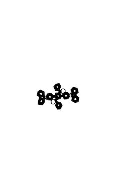 O=C(c1ccccc1)c1cc(-c2ccc(-n3c4ccccc4c4ccccc43)cc2)c(C(=O)c2ccccc2)cc1-c1ccc(-n2c3ccccc3c3ccccc32)cc1